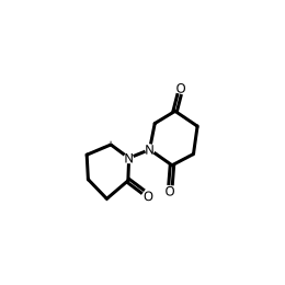 O=C1CCC(=O)N(N2[CH]CCCC2=O)C1